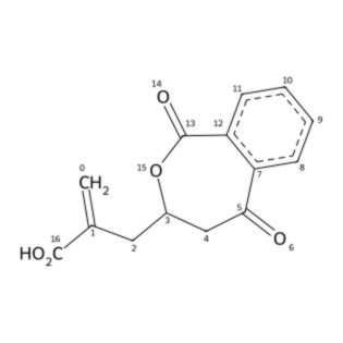 C=C(CC1CC(=O)c2ccccc2C(=O)O1)C(=O)O